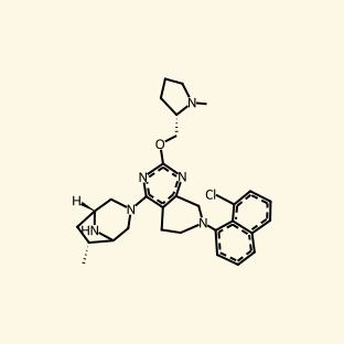 C[C@@H]1C[C@@H]2CN(c3nc(OC[C@@H]4CCCN4C)nc4c3CCN(c3cccc5cccc(Cl)c35)C4)CC1N2